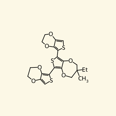 CCC1(C)COc2c(-c3scc4c3OCCO4)sc(-c3scc4c3OCCO4)c2OC1